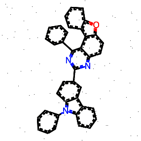 c1ccc(-c2nc(-c3ccc4c(c3)c3ccccc3n4-c3ccccc3)nc3ccc4oc5ccccc5c4c23)cc1